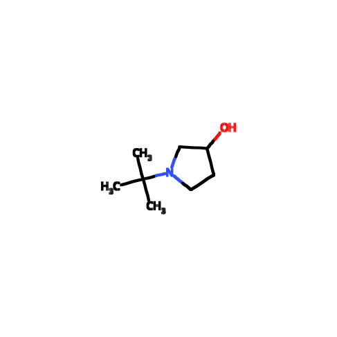 CC(C)(C)N1CCC(O)C1